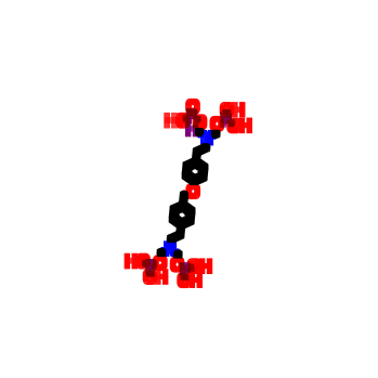 O=[PH](O)OCN(CCc1ccc(OCc2ccc(CCN(COP(O)O)COP(O)O)cc2)cc1)COP(O)O